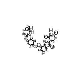 [2H]C1([2H])CN(Cc2ccc(COc3cccc4c3CN(C3CCC(=O)NC3=O)C4=O)cc2)CCO1